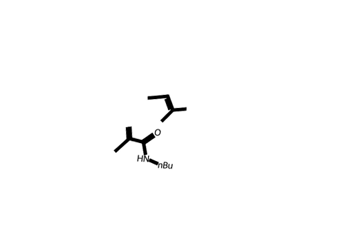 C=C(C)C(=O)NCCCC.CC=C(C)C